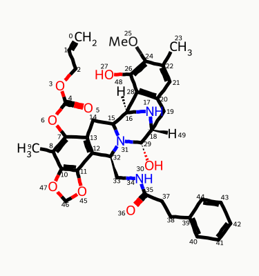 C=CCOC(=O)Oc1c(C)c2c(c3c1CC1[C@@H]4N[C@H](Cc5cc(C)c(OC)c(O)c54)[C@H](O)N1[C@H]3CNC(=O)CCc1ccccc1)OCO2